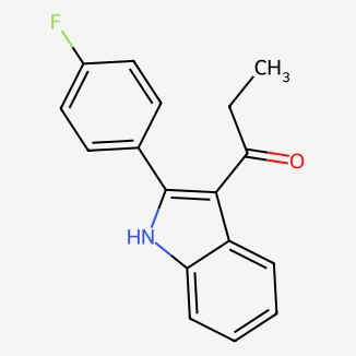 CCC(=O)c1c(-c2ccc(F)cc2)[nH]c2ccccc12